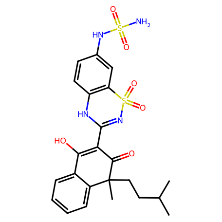 CC(C)CCC1(C)C(=O)C(C2=NS(=O)(=O)c3cc(NS(N)(=O)=O)ccc3N2)=C(O)c2ccccc21